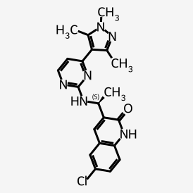 Cc1nn(C)c(C)c1-c1ccnc(N[C@@H](C)c2cc3cc(Cl)ccc3[nH]c2=O)n1